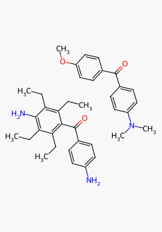 CCc1c(N)c(CC)c(CC)c(C(=O)c2ccc(N)cc2)c1CC.COc1ccc(C(=O)c2ccc(N(C)C)cc2)cc1